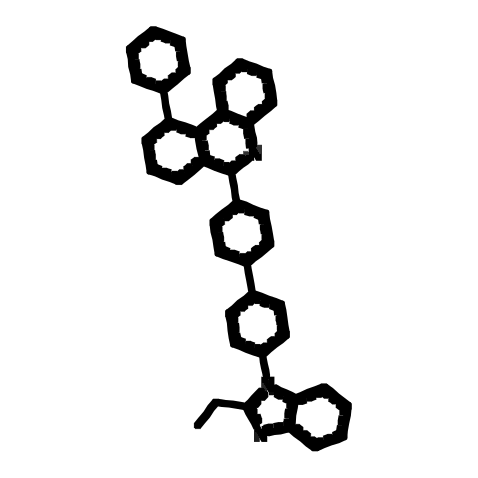 CCc1nc2ccccc2n1-c1ccc(-c2ccc(-c3nc4ccccc4c4c(-c5ccccc5)cccc34)cc2)cc1